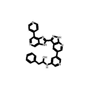 OC(Cc1ccccc1)Nc1cncc(-c2cnc3[nH]nc(-c4nc5c(-c6ccncc6)cncc5[nH]4)c3c2)c1